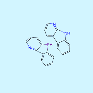 c1ccc2c(c1)[nH]c1ncccc12.c1ccc2c(c1)[pH]c1cccnc12